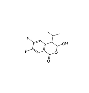 CC(C)C1c2cc(F)c(F)cc2C(=O)OC1O